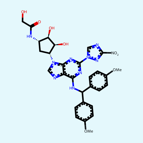 COc1ccc(C(Nc2nc(-n3cnc([N+](=O)[O-])n3)nc3c2ncn3[C@@H]2C[C@H](NC(=O)CO)[C@@H](O)[C@H]2O)c2ccc(OC)cc2)cc1